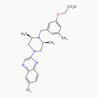 CCOC(=O)COc1cc(C)cc(CN2[C@H](C)CN(c3cnc4cc(C(F)(F)F)ccc4n3)C[C@@H]2C)c1